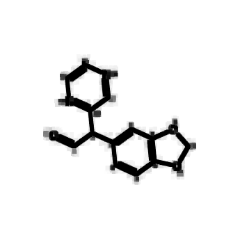 O=CC(c1ccc2c(c1)OCO2)c1cnccn1